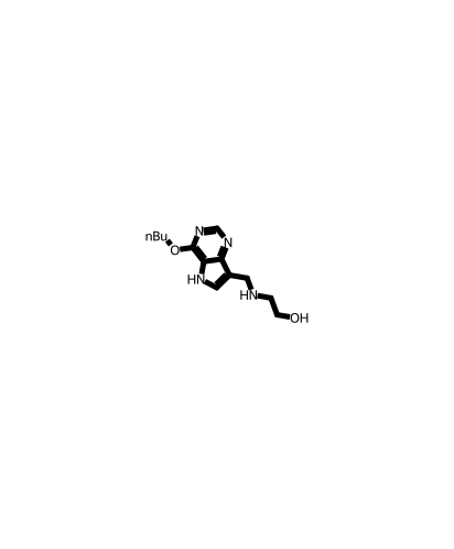 CCCCOc1ncnc2c(CNCCO)c[nH]c12